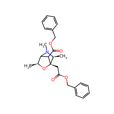 B[C@@H]1O[C@]2(CC(=O)OCc3ccccc3)C(C(=O)OCc3ccccc3)C1N(C)[C@H]2C